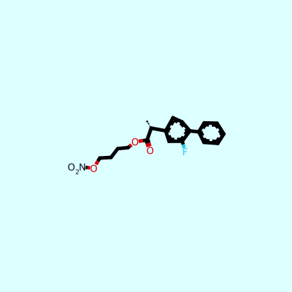 C[C@@H](C(=O)OCCCCO[N+](=O)[O-])c1ccc(-c2ccccc2)c(F)c1